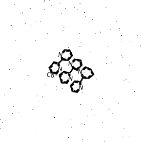 [Co].c1ccc(-c2ccccn2)nc1.c1ccc(-c2ccccn2)nc1.c1ccc(-c2ccccn2)nc1